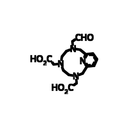 O=CCN1CCN(CC(=O)O)CCN(CC(=O)O)Cc2cccc(n2)C1